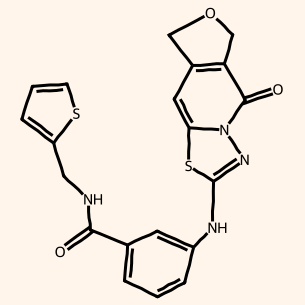 O=C(NCc1cccs1)c1cccc(Nc2nn3c(=O)c4c(cc3s2)COC4)c1